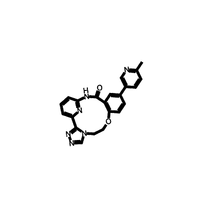 Cc1ccc(-c2ccc3c(c2)C(=O)Nc2cccc(n2)-c2nncn2CCO3)cn1